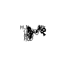 Nc1ccn([C@@H]2O[C@H](COC(=O)CSc3nnc(Br)n3-c3ccc(C4CC4)c4ccccc34)C(OP(=O)(O)O)C2O)c(=O)n1